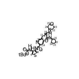 CC(C)(C)OC(=O)Nc1cscc1NC(=O)c1ccc(CN(CCN2CCOCC2)C(=O)NC2CCCC2)cn1